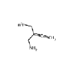 C=C=C(CN)CCCC